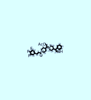 CC(=O)OCC(C1CCN(C(=O)C=Cc2cc(F)c(F)c(F)c2)CC1)N1CCC(c2c[nH]c3ccccc23)CC1